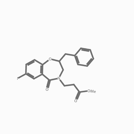 COC(=O)CCN1CC(Cc2ccccc2)Oc2ccc(I)cc2C1=O